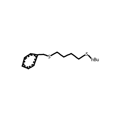 CCCCSCCCCSCc1ccccc1